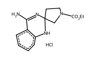 CCOC(=O)N1CCC2(C1)N=C(N)c1ccccc1N2.Cl